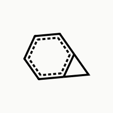 c1ccc2c(c1)C2